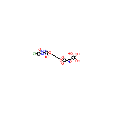 COc1cc(-c2cc(-c3cc(CO)c(CO)c(CO)c3)on2)cc(OC)c1OCCCCCCCCOc1ccc(C2NC(=O)c3cc(Cl)ccc3N2)cc1CO